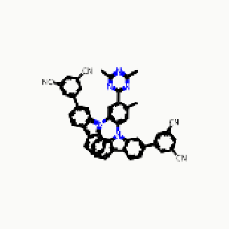 Cc1nc(C)nc(-c2cc(-n3c4ccccc4c4ccc(-c5cc(C#N)cc(C#N)c5)cc43)c(-n3c4ccccc4c4ccc(-c5cc(C#N)cc(C#N)c5)cc43)cc2C)n1